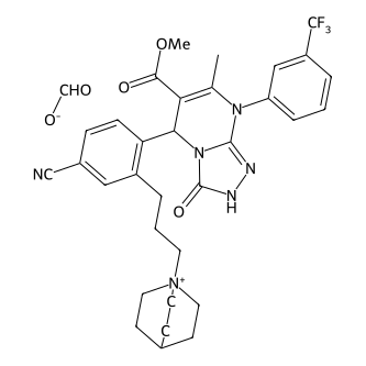 COC(=O)C1=C(C)N(c2cccc(C(F)(F)F)c2)c2n[nH]c(=O)n2C1c1ccc(C#N)cc1CCC[N+]12CCC(CC1)CC2.O=C[O-]